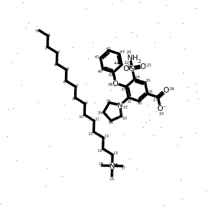 CCCCCCCCCCCCCCCC[N+](C)(C)C.NS(=O)(=O)c1cc(C(=O)[O-])cc(N2CCCC2)c1Oc1ccccc1